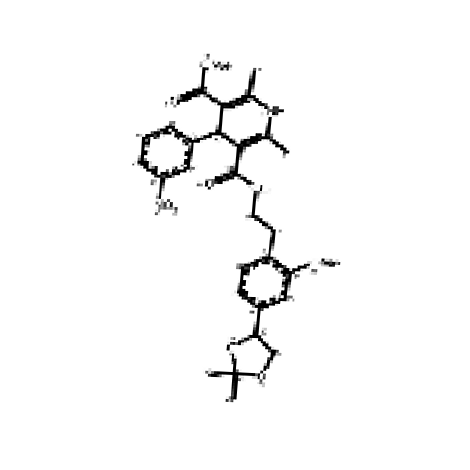 COC(=O)C1=C(C)NC(C)=C(C(=O)OCCc2ccc(C3COC(C)(C)O3)cc2OC)C1c1cccc([N+](=O)[O-])c1